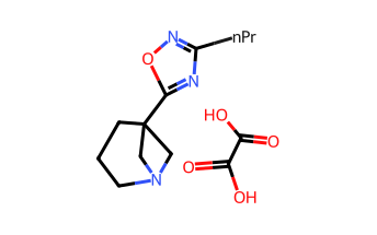 CCCc1noc(C23CCCN(C2)C3)n1.O=C(O)C(=O)O